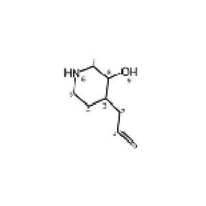 C=CCC1CCNCC1O